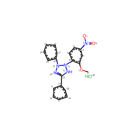 COc1cc([N+](=O)[O-])ccc1N1NC(c2ccccc2)=NN1c1ccccc1.Cl